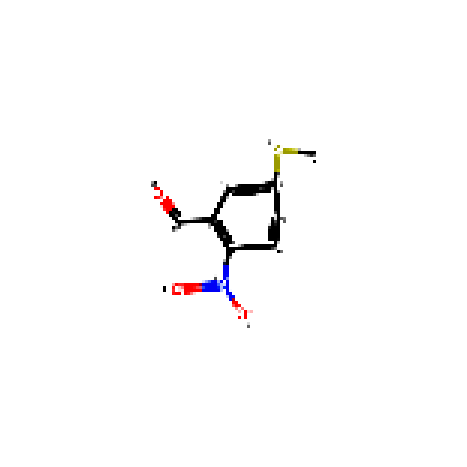 CSc1ccc([N+](=O)[O-])c(C=O)c1